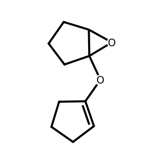 C1=C(OC23CCCC2O3)CCC1